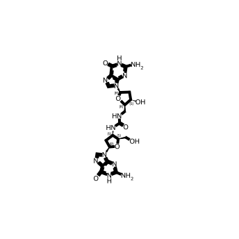 Nc1nc2c(ncn2[C@H]2C[C@H](NC(=O)NC[C@H]3O[C@@H](n4cnc5c(=O)[nH]c(N)nc54)C[C@@H]3O)[C@@H](CO)O2)c(=O)[nH]1